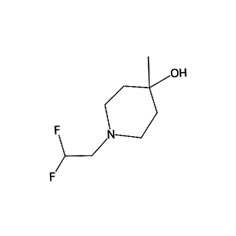 CC1(O)CCN(CC(F)F)CC1